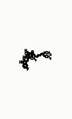 CCN(CC)CC/C=C/CCS(=O)(=O)Nc1c(C)[nH]c(/C=C2\C(=O)Nc3ccc(F)cc32)c1C